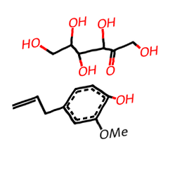 C=CCc1ccc(O)c(OC)c1.O=C(CO)C(O)C(O)C(O)CO